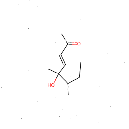 CCC(C)C(C)(O)C=CC(C)=O